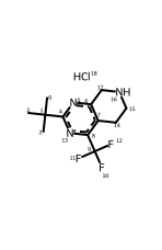 CC(C)(C)c1nc2c(c(C(F)(F)F)n1)CCNC2.Cl